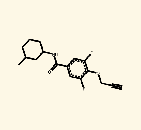 C#CCOc1c(F)cc(C(=O)NC2CCCC(C)C2)cc1F